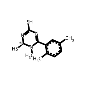 Cc1ccc(C)c(C2=NC(S)=N[C@H](S)N2C)c1